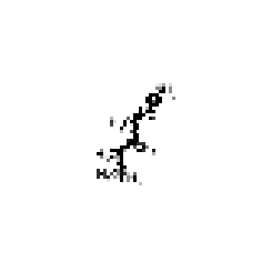 CC(C)=CCCC(C)=CCCC(C)=CCCC(C)=CCOC(=O)c1ccc(N)cc1